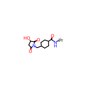 CC(C)NC(=O)C1CCC(CN2C(=O)CC(O)C2=O)CC1